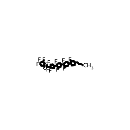 CCCCCc1ccc(-c2cc(F)c(-c3cc(F)c(-c4cc(F)c(C(F)(F)Oc5cc(F)c(F)c(F)c5)c(F)c4)c(F)c3)c(F)c2)c(F)c1